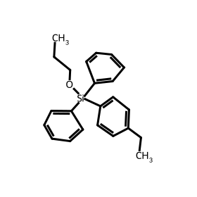 CCCO[Si](c1ccccc1)(c1ccccc1)c1ccc(CC)cc1